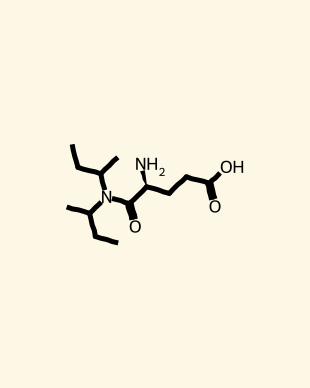 CCC(C)N(C(=O)[C@@H](N)CCC(=O)O)C(C)CC